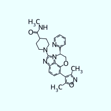 CNC(=O)C1CCN(c2nc3ccc(-c4c(C)noc4C)c4c3n2[C@@H](c2ccccn2)CO4)CC1